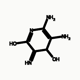 N=C1C(O)=NC(N)=C(N)C1O